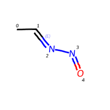 C/C=N/N=O